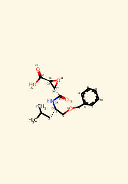 CC(C)C[C@@H](COCc1ccccc1)NC(=O)[C@H]1O[C@@H]1C(=O)O